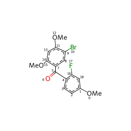 COc1ccc(C(=O)c2cc(Br)c(OC)cc2OC)c(F)c1